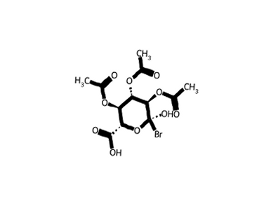 CC(=O)O[C@H]1[C@H](OC(C)=O)[C@@H](OC(C)=O)[C@@](O)(Br)O[C@@H]1C(=O)O